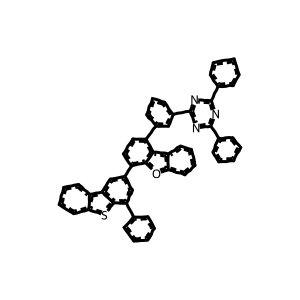 c1ccc(-c2nc(-c3ccccc3)nc(-c3cccc(-c4ccc(-c5cc(-c6ccccc6)c6sc7ccccc7c6c5)c5oc6ccccc6c45)c3)n2)cc1